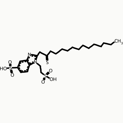 CCCCCCCCCCCCCC(=S)Cc1nc2cc(S(=O)(=O)O)ccc2n1CCS(=O)(=O)O